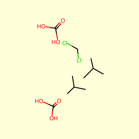 CC(C)C.CC(C)C.ClCCl.O=C(O)O.O=C(O)O